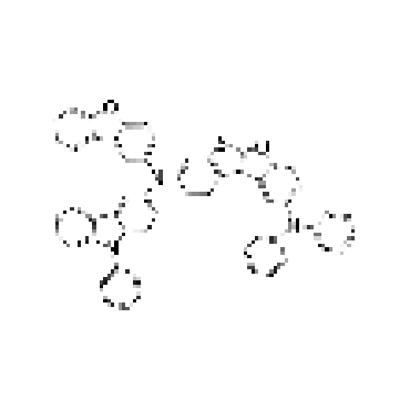 c1ccc(N(c2ccccc2)c2ccc3oc4sc5cc(N(c6ccc7oc8ccccc8c7c6)c6ccc7c(c6)c6ccccc6n7-c6ccccc6)ccc5c4c3c2)cc1